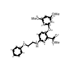 COC(=O)c1nc(NCCOc2ccccc2)ccc1Oc1nc(OC)cc(OC)n1